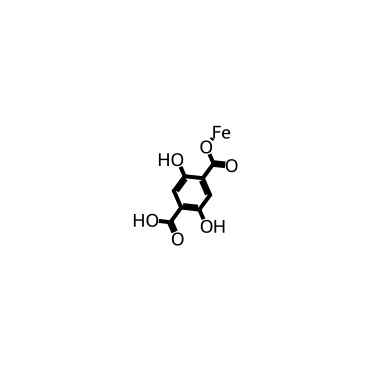 O=C(O)c1cc(O)c(C(=O)[O][Fe])cc1O